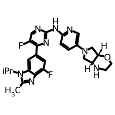 Cc1nc2c(F)cc(-c3nc(Nc4ccc(N5C[C@@H]6NCCO[C@H]6C5)cn4)ncc3F)cc2n1C(C)C